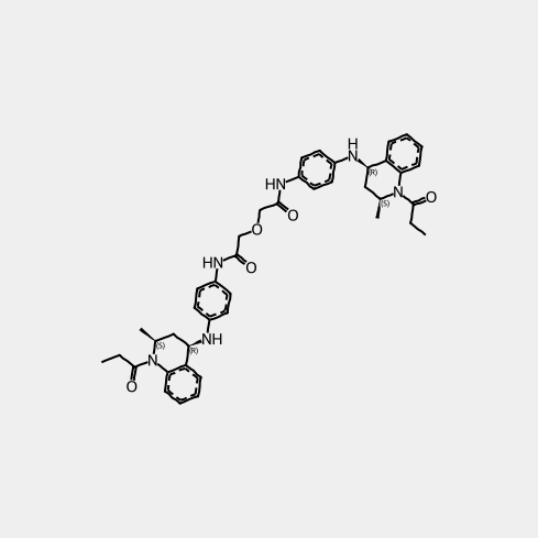 CCC(=O)N1c2ccccc2[C@H](Nc2ccc(NC(=O)COCC(=O)Nc3ccc(N[C@@H]4C[C@H](C)N(C(=O)CC)c5ccccc54)cc3)cc2)C[C@@H]1C